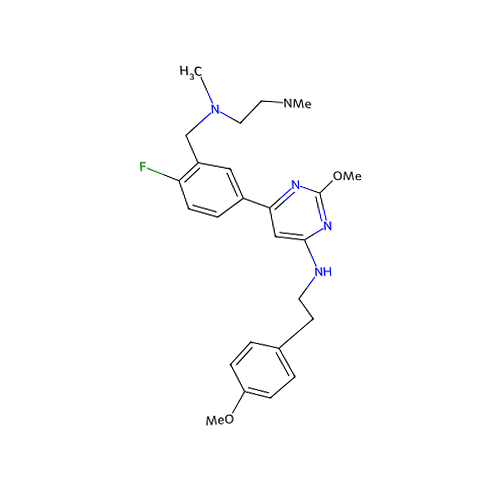 CNCCN(C)Cc1cc(-c2cc(NCCc3ccc(OC)cc3)nc(OC)n2)ccc1F